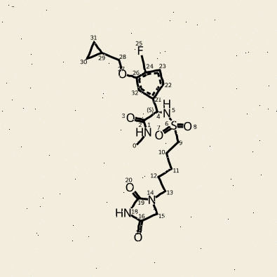 CNC(=O)[C@@H](NS(=O)(=O)CCCCCN1CC(=O)NC1=O)c1ccc(F)c(OCC2CC2)c1